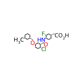 Cc1cccc(COc2ccc(Cl)c(C(=O)Nc3ccc(CC(=O)O)cc3F)c2)c1